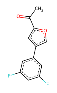 CC(=O)c1cc(-c2cc(F)cc(F)c2)co1